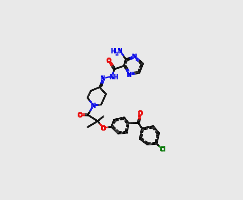 CC(C)(Oc1ccc(C(=O)c2ccc(Cl)cc2)cc1)C(=O)N1CCC(=NNC(=O)c2nccnc2N)CC1